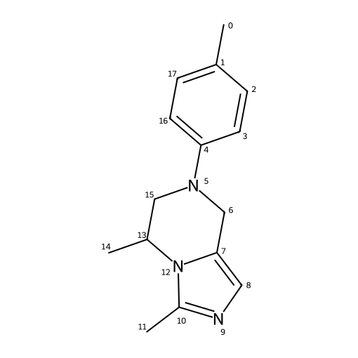 Cc1ccc(N2Cc3cnc(C)n3C(C)C2)cc1